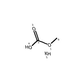 COC(=O)O.[KH]